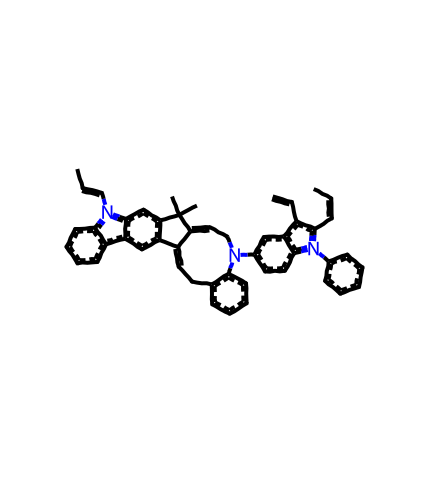 C=Cc1c(/C=C\C)n(-c2ccccc2)c2ccc(N3C/C=C4\C(=C/Cc5ccccc53)c3cc5c6ccccc6n(/C=C/C)c5cc3C4(C)C)cc12